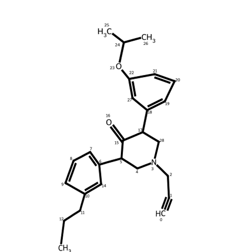 C#CCN1CC(c2cccc(CCC)c2)C(=O)C(c2cccc(OC(C)C)c2)C1